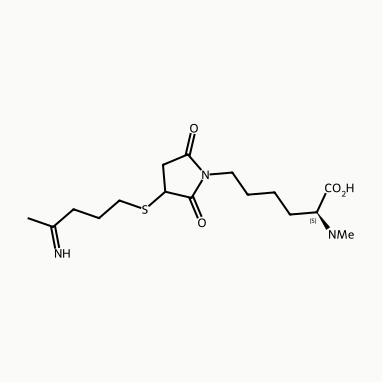 CN[C@@H](CCCCN1C(=O)CC(SCCCC(C)=N)C1=O)C(=O)O